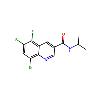 CC(C)NC(=O)c1cnc2c(Br)cc(F)c(F)c2c1